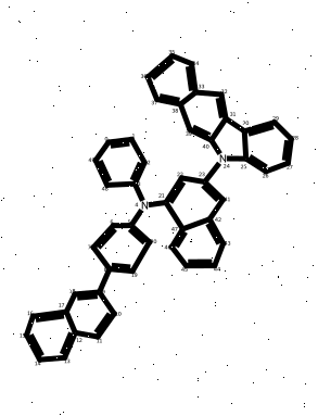 c1ccc(N(c2ccc(-c3ccc4ccccc4c3)cc2)c2cc(-n3c4ccccc4c4cc5ccccc5cc43)cc3ccccc23)cc1